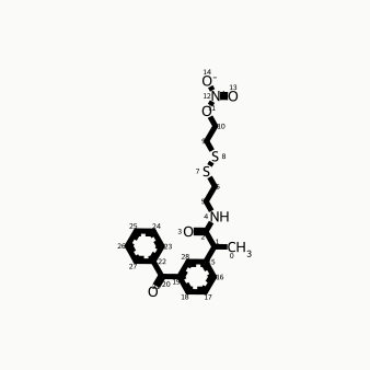 CC(C(=O)NCCSSCCO[N+](=O)[O-])c1cccc(C(=O)c2ccccc2)c1